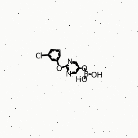 OB(O)Oc1cnc(Oc2cccc(Cl)c2)nc1